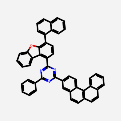 c1ccc(-c2nc(-c3ccc4c(ccc5ccc6ccccc6c54)c3)nc(-c3ccc(-c4cccc5ccccc45)c4oc5ccccc5c34)n2)cc1